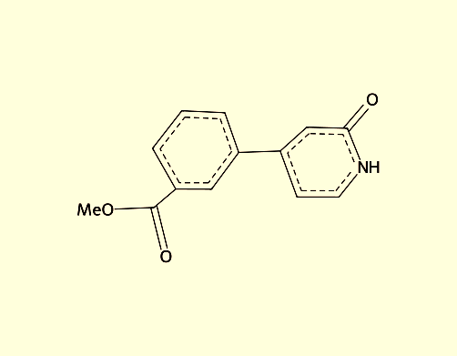 COC(=O)c1cccc(-c2cc[nH]c(=O)c2)c1